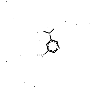 CP(C)c1cncc(C(=O)O)c1